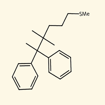 CSCCCC(C)(C)C(C)(c1ccccc1)c1ccccc1